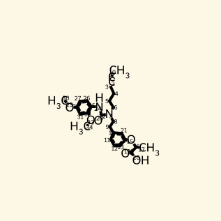 CCCCCCCN(CCc1cccc(OC(C)C(=O)O)c1)C(=O)Nc1ccc(OC)cc1OC